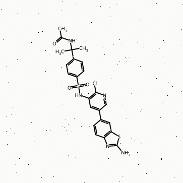 CC(=O)NC(C)(C)c1ccc(S(=O)(=O)Nc2cc(-c3ccc4nc(N)sc4c3)cnc2Cl)cc1